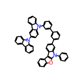 c1ccc(-n2c3cc(-c4cccc(-c5cccc(-n6c7ccccc7c7cc(-n8c9ccccc9c9ccccc98)ccc76)c5)c4)ccc3c3c4ccccc4oc32)cc1